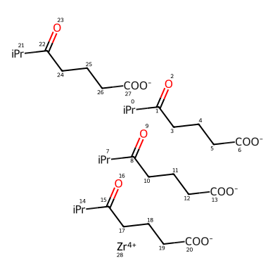 CC(C)C(=O)CCCC(=O)[O-].CC(C)C(=O)CCCC(=O)[O-].CC(C)C(=O)CCCC(=O)[O-].CC(C)C(=O)CCCC(=O)[O-].[Zr+4]